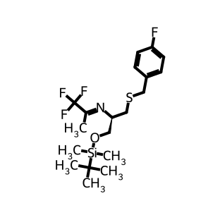 CC(=N[C@H](CO[Si](C)(C)C(C)(C)C)CSCc1ccc(F)cc1)C(F)(F)F